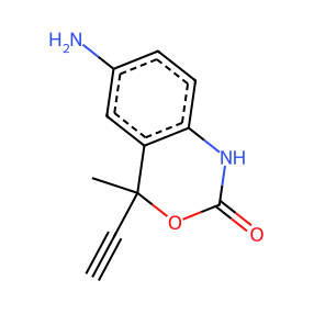 C#CC1(C)OC(=O)Nc2ccc(N)cc21